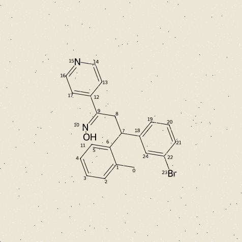 Cc1ccccc1C(C/C(=N\O)c1ccncc1)c1cccc(Br)c1